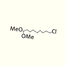 COC(CCCCCCCCCl)OC